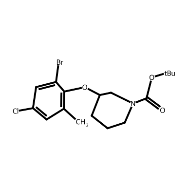 Cc1cc(Cl)cc(Br)c1OC1CCCN(C(=O)OC(C)(C)C)C1